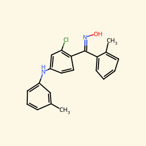 Cc1cccc(Nc2ccc(C(=NO)c3ccccc3C)c(Cl)c2)c1